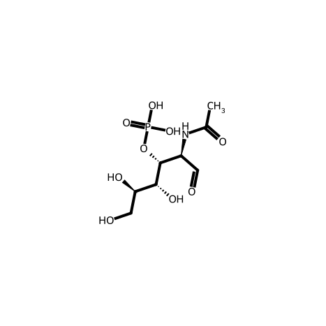 CC(=O)N[C@@H](C=O)[C@@H](OP(=O)(O)O)[C@H](O)[C@H](O)CO